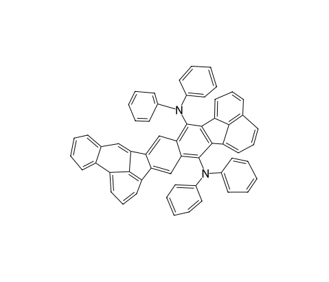 c1ccc(N(c2ccccc2)c2c3cc4c(cc3c(N(c3ccccc3)c3ccccc3)c3c5cccc6cccc(c23)c65)c2cc3ccccc3c3cccc4c32)cc1